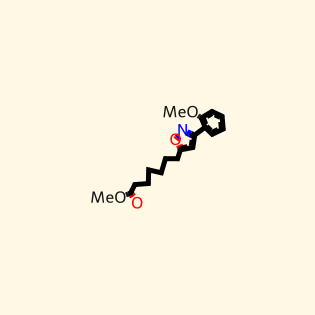 COC(=O)CCCCCCc1cc(-c2ccccc2OC)no1